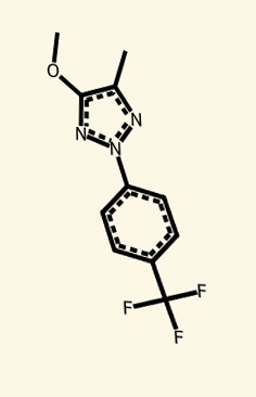 COc1nn(-c2ccc(C(F)(F)F)cc2)nc1C